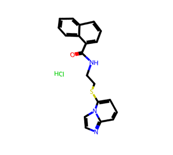 Cl.O=C(NCCSc1cccc2nccn12)c1cccc2ccccc12